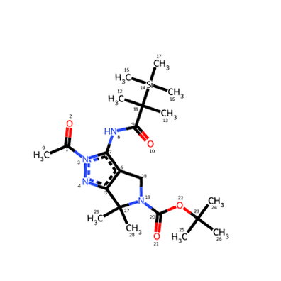 CC(=O)n1nc2c(c1NC(=O)C(C)(C)[Si](C)(C)C)CN(C(=O)OC(C)(C)C)C2(C)C